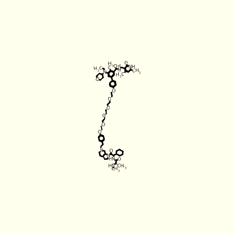 CCN(c1cc(-c2ccc(OCCOCCOCCOCCOCCOc3ccc(CCN4CCC5=C(C4)N(C(=O)C(NC(=O)[C@H](C)NC)C4CCCCC4)CC5)cc3)cc2)cc(C(=O)NCc2c(C)cc(C)[nH]c2=O)c1C)C1CCOCC1